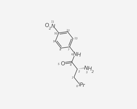 CC(C)C[C@@H](N)C(=O)Nc1ccc([N+](=O)[O-])cc1